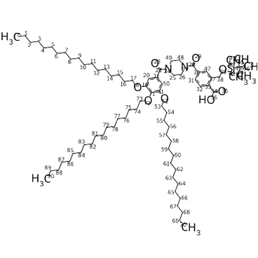 CCCCCCCCCCCCCCCCCCOc1cc(C(=O)N2CCN(C(=O)c3ccc(C(=O)O)c(CO[Si](C)(C)C(C)(C)C)c3)CC2)cc(OCCCCCCCCCCCCCCCCCC)c1OCCCCCCCCCCCCCCCCCC